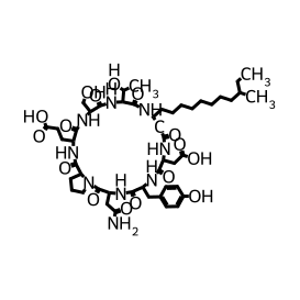 CCC(C)CCCCCCCCC1CC(=O)NC(CC(=O)O)C(=O)NC(Cc2ccc(O)cc2)C(=O)NC(CC(N)=O)C(=O)N2CCCC2C(=O)NC(CCC(=O)O)C(=O)NC(CO)C(=O)NC(C(C)O)C(=O)N1